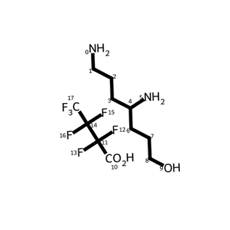 NCCCC(N)CCCO.O=C(O)C(F)(F)C(F)(F)C(F)(F)F